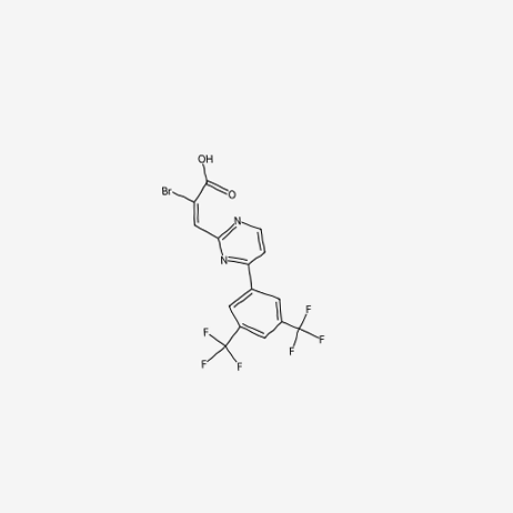 O=C(O)/C(Br)=C\c1nccc(-c2cc(C(F)(F)F)cc(C(F)(F)F)c2)n1